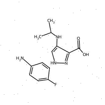 CC(C)Nc1c[nH]nc1C(=O)O.Nc1ccc(F)cc1